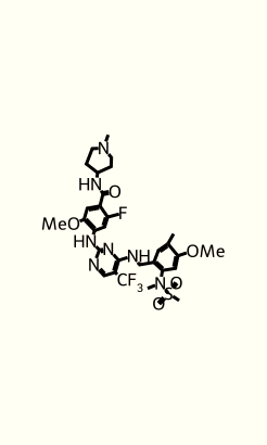 COc1cc(N(C)S(C)(=O)=O)c(CNc2nc(Nc3cc(F)c(C(=O)NC4CCN(C)CC4)cc3OC)ncc2C(F)(F)F)cc1C